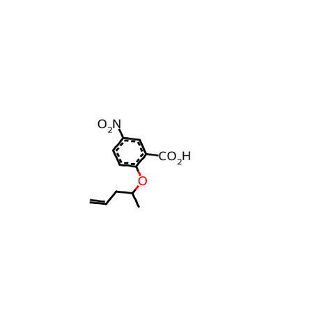 C=CCC(C)Oc1ccc([N+](=O)[O-])cc1C(=O)O